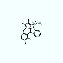 CC1=C(C)C(C)[C]([Zr]([CH3])([CH3])(=[SiH2])[CH]2C=C(c3c(C)ccc(C)c3C)c3ccccc32)=C1C